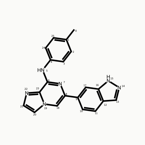 Cc1ccc(Nc2nc(-c3ccc4cn[nH]c4c3)cn3ccnc23)cc1